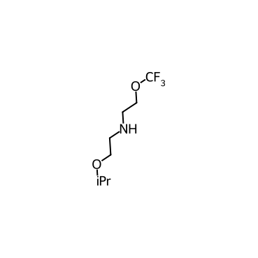 CC(C)OCCNCCOC(F)(F)F